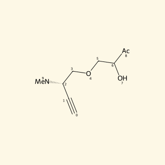 C#C[C@@H](COCC(O)C(C)=O)NC